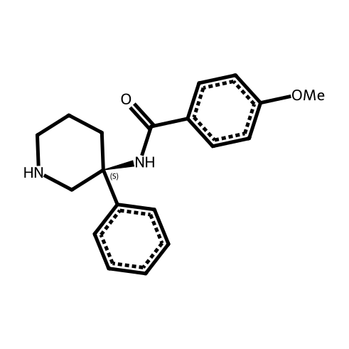 COc1ccc(C(=O)N[C@]2(c3ccccc3)CCCNC2)cc1